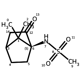 CC1(C)C2CC[C@@]1(NS(C)(=O)=O)C(=O)C2